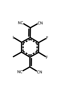 Cc1c(I)c(=C(C#N)C#N)c(F)c(F)c1=C(C#N)C#N